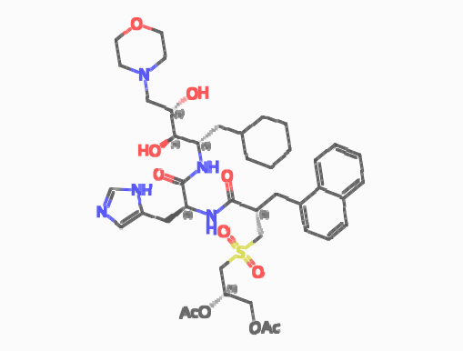 CC(=O)OC[C@@H](CS(=O)(=O)C[C@@H](Cc1cccc2ccccc12)C(=O)N[C@@H](Cc1cnc[nH]1)C(=O)N[C@@H](CC1CCCCC1)[C@@H](O)[C@@H](O)CN1CCOCC1)OC(C)=O